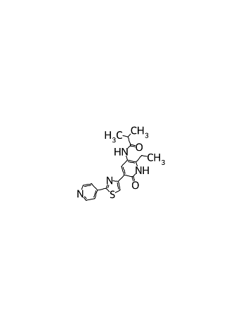 CCc1[nH]c(=O)c(-c2csc(-c3ccncc3)n2)cc1NC(=O)C(C)C